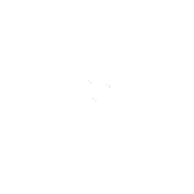 c1ccc(-c2ccc(-c3nc(-c4ccccc4)nc(-c4ccccc4-c4cccc5sc6ccc7ccccc7c6c45)n3)cc2)cc1